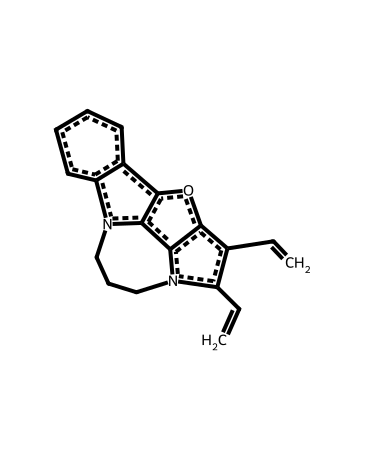 C=Cc1c(C=C)n2c3c1oc1c4ccccc4n(c13)CCC2